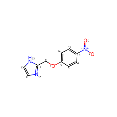 O=[N+]([O-])c1ccc(OCc2ncc[nH]2)cc1